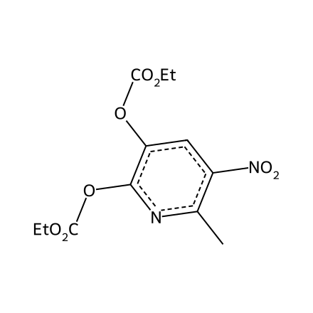 CCOC(=O)Oc1cc([N+](=O)[O-])c(C)nc1OC(=O)OCC